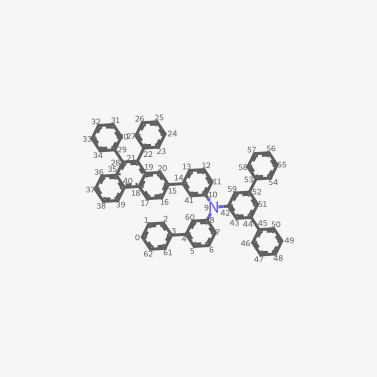 c1ccc(-c2cccc(N(c3cccc(-c4ccc5c(c4)c(-c4ccccc4)c(-c4ccccc4)c4ccccc45)c3)c3cc(-c4ccccc4)cc(-c4ccccc4)c3)c2)cc1